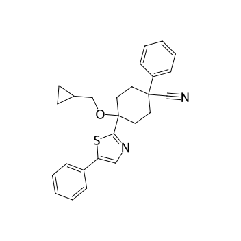 N#CC1(c2ccccc2)CCC(OCC2CC2)(c2ncc(-c3ccccc3)s2)CC1